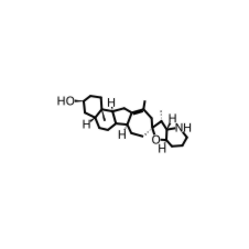 CC1=C2C[C@H]3C(CC[C@@H]4C[C@@H](O)CC[C@@]43C)[C@@H]2CC[C@@]2(C1)O[C@@H]1CCCN[C@H]1[C@H]2C